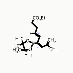 C=C(C)/C=C(\C=C(/F)CCC(=O)OCC)B1OC(C)(C)C(C)(C)O1